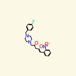 O=C(CC=Cc1ccccc1[N+](=O)[O-])CN1CCN(Cc2ccc(F)cc2)CC1